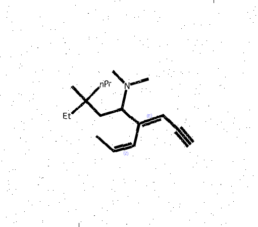 C#C/C=C(\C=C/C)C(CC(C)(CC)CCC)N(C)C